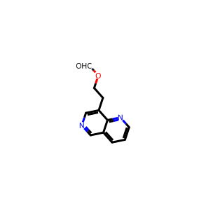 O=COCCc1cncc2cccnc12